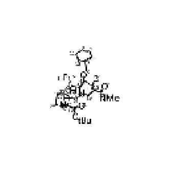 CCCC(=O)c1c(OCc2ccccc2)c(=O)c(C(=O)NC)cn1C[C@@H]1C2CCC(CC2)N1C(=O)OC(C)(C)C